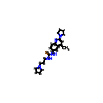 Cc1cc(N2CCCC2)nc2ccc(NC(=S)NCCCN3CCCC3)cc12